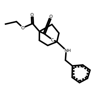 CCOC(=O)C12CCC(NCc3ccccc3)(CC1)CC2=O